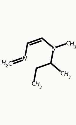 C=N/C=C\N(C)C(C)CC